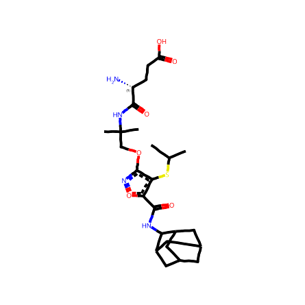 CC(C)Sc1c(OCC(C)(C)NC(=O)[C@H](N)CCC(=O)O)noc1C(=O)NC1C2CC3CC(C2)CC1C3